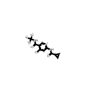 [2H]C([2H])([2H])NC(=O)c1cnc(NC(=O)C2CC2)cc1Cl